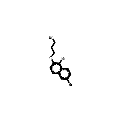 BrCCCOc1ccc2cc(Br)ccc2c1Br